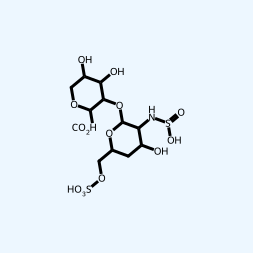 O=C(O)C1OCC(O)C(O)C1OC1OC(COS(=O)(=O)O)CC(O)C1NS(=O)O